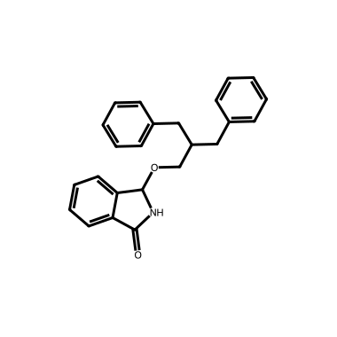 O=C1NC(OCC(Cc2ccccc2)Cc2ccccc2)c2ccccc21